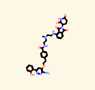 CN(CCNC(=O)c1ccc(CCOc2cc(-c3ccccc3O)nnc2N)cc1)CCNc1cccc2c1C(=O)N(C1CCC(=O)NC1=O)C2=O